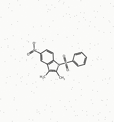 Cc1c(C)n(S(=O)(=O)c2ccccc2)c2ccc([N+](=O)[O-])cc12